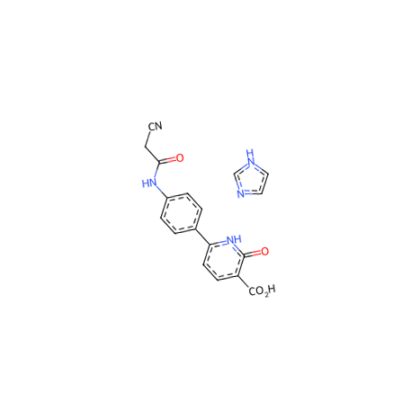 N#CCC(=O)Nc1ccc(-c2ccc(C(=O)O)c(=O)[nH]2)cc1.c1c[nH]cn1